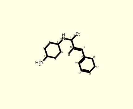 CCC(NC1CCC(N)CC1)/C(C)=C/C1=CC=CCC1